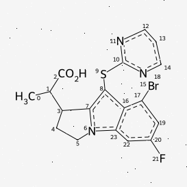 CC(C(=O)O)C1CCn2c1c(Sc1ncccn1)c1c(Br)cc(F)cc12